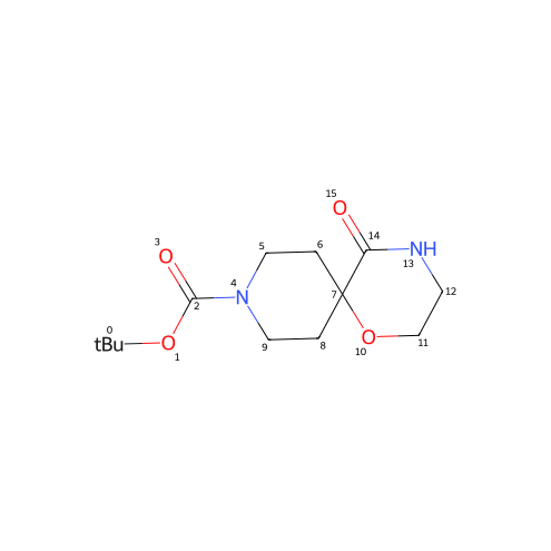 CC(C)(C)OC(=O)N1CCC2(CC1)OCCNC2=O